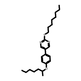 CCCCCCCCSc1ncc(-c2ccc(OC(C)CCCCC)cc2)cn1